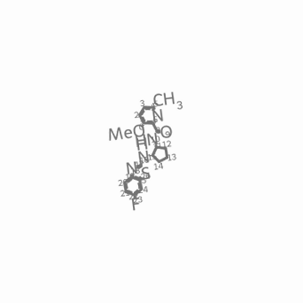 COc1ccc(C)nc1C(=O)NC1CCC[C@@H]1Nc1nc2ccc(F)cc2s1